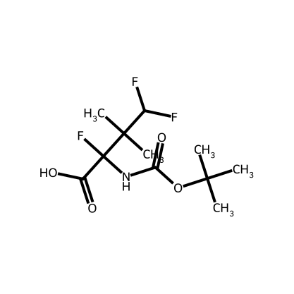 CC(C)(C)OC(=O)NC(F)(C(=O)O)C(C)(C)C(F)F